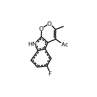 CC(=O)C1=C(C)OOc2[nH]c3ccc(F)cc3c21